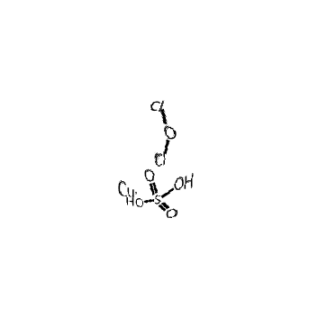 ClOCl.O=S(=O)(O)O.[Cu]